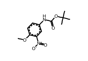 COc1ccc(NC(=O)OC(C)(C)C)cc1[N+](=O)[O-]